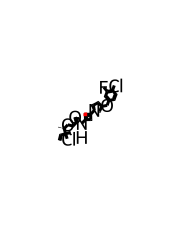 C=CC(C)(Cl)[C@H](C)OCC(=O)NC12CC(N3CCC(Oc4ccc(Cl)c(F)c4)C3)(C1)C2